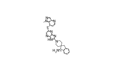 Cn1ncc2nccc(Sc3cnc4[nH]c(N5CCC6(CC5)Cc5ccccc5[C@H]6N)nc4n3)c21